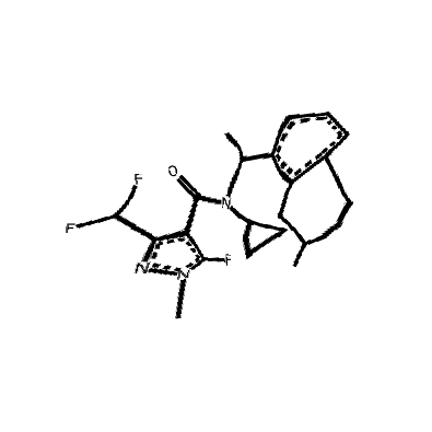 CC1CCc2cccc(C(C)N(C(=O)c3c(C(F)F)nn(C)c3F)C3CC3)c2C1